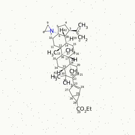 C=C(C)[C@@H]1CC[C@]2(N3CC3)CC[C@]3(C)[C@H](CC[C@@H]4[C@@]5(C)CC=C(C6=CC7C(C6)C7C(=O)OCC)C(C)(C)[C@@H]5CC[C@]43C)[C@@H]12